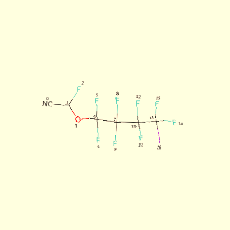 N#CC(F)OC(F)(F)C(F)(F)C(F)(F)C(F)(F)I